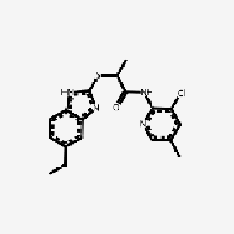 CCc1ccc2[nH]c(SC(C)C(=O)Nc3ncc(C)cc3Cl)nc2c1